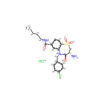 Cl.N[C@H]1CS(=O)(=O)c2ccc(C(=O)NCCCC(F)(F)F)cc2N(Cc2ccc(Cl)cc2)C1=O